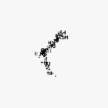 NCCCCCC(=O)NCCCCSN(N)C(=O)NCCCCCC(=O)NCCOc1ccc(CS)c(CS)c1